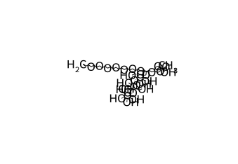 C=CCOCCOCCOCCOCCOCCOCCOCC(COC1COC(C)(C(=O)O)OC1)O[C@@H]1O[C@@H](CO)[C@@H](O[C@@H]2OC(CO)[C@H](O[C@H]3OC(CO)[C@H](O)[C@H](O)C3O)[C@H](O)C2O)C(O)C1O